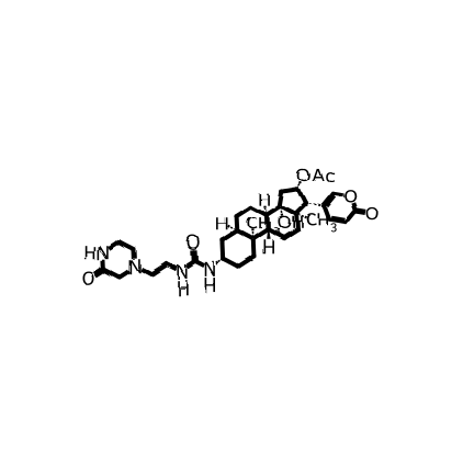 CC(=O)O[C@H]1C[C@]2(O)[C@@H]3CC[C@@H]4C[C@@H](NC(=O)NCCN5CCNC(=O)C5)CC[C@]4(C)[C@H]3CC[C@]2(C)[C@H]1c1ccc(=O)oc1